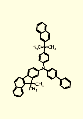 CC(C)(c1ccc(N(c2ccc(-c3ccccc3)cc2)c2ccc3c(c2)C(C)(C)c2c-3ccc3ccccc23)cc1)c1ccc2ccccc2c1